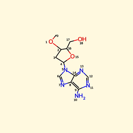 COC1CC(n2cnc3c(N)ncnc32)OC1CO